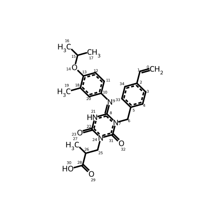 C=Cc1ccc(Cn2c(=Nc3ccc(OC(C)C)c(C)c3)[nH]c(=O)n(CC(C)C(=O)O)c2=O)cc1